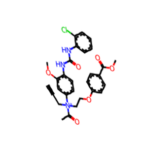 C#CC[N+](CCOc1ccc(C(=O)OC)cc1)(C(C)=O)c1ccc(NC(=O)Nc2ccccc2Cl)c(OC)c1